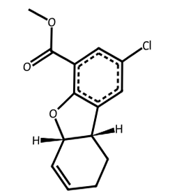 COC(=O)c1cc(Cl)cc2c1O[C@H]1C=CCC[C@@H]21